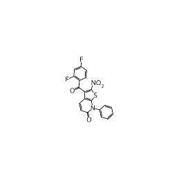 O=C(c1ccc(F)cc1F)c1c([N+](=O)[O-])sc2c1ccc(=O)n2-c1ccccc1